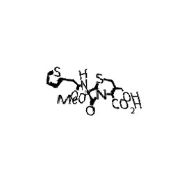 CO[C@@]1(NC(=O)Cc2cccs2)C(=O)N2C(C(=O)O)=C(CO)CSC21